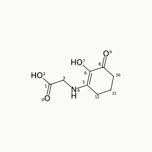 O=C(O)CNC1=C(O)C(=O)CCC1